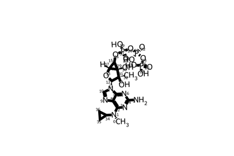 CN(c1nc(N)nc2c1ncn2[C@@H]1O[C@@H]2C(OP(=O)(O)OP(=O)(O)OP(=O)(O)O)[C@]2(O)[C@@]1(C)O)C1CC1